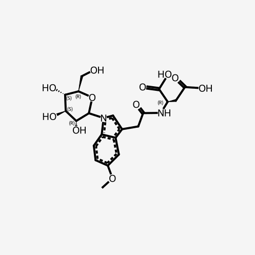 COc1ccc2c(c1)c(CC(=O)N[C@H](CC(=O)O)C(=O)O)cn2C1O[C@H](CO)[C@@H](O)[C@H](O)[C@H]1O